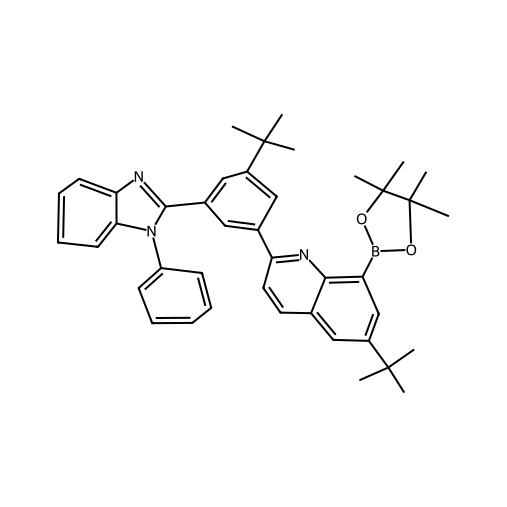 CC(C)(C)c1cc(-c2ccc3cc(C(C)(C)C)cc(B4OC(C)(C)C(C)(C)O4)c3n2)cc(-c2nc3ccccc3n2-c2ccccc2)c1